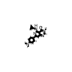 CN(C)c1ccc(-c2cc3ncn(C)c(=O)c3c(NC3CC3)n2)cc1